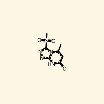 Cc1cc(=O)[nH]c2nnc(S(C)(=O)=O)n12